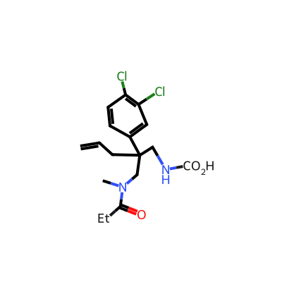 C=CCC(CNC(=O)O)(CN(C)C(=O)CC)c1ccc(Cl)c(Cl)c1